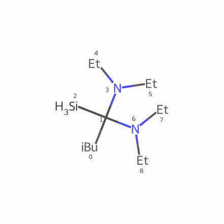 CCC(C)C([SiH3])(N(CC)CC)N(CC)CC